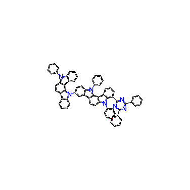 c1ccc(-c2nc(-c3ccccc3)nc(-c3cccc4c5c(ccc6c7cc(-n8c9ccccc9c9ccc%10c(c%11ccccc%11n%10-c%10ccccc%10)c98)ccc7n(-c7ccccc7)c65)n(-c5ccccc5)c34)n2)cc1